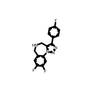 Fc1ccc(-c2nnn3c2CNCc2cc(F)c(F)cc2-3)cc1